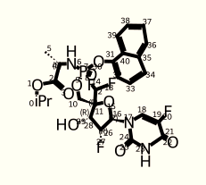 CC(C)OC(=O)[C@H](C)NP(=O)(OC[C@@]1(C(F)F)O[C@@H](n2cc(F)c(=O)[nH]c2=O)[C@H](F)[C@@H]1O)Oc1cccc2ccccc12